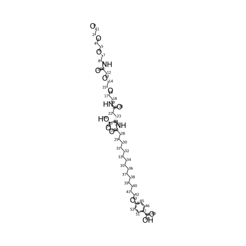 O=[C]COCCOCCNC(=O)COCCOCCNC(=O)CC[C@H](NC(=O)CCCCCCCCCCCCCCCOc1ccc(C(=O)O)cc1)C(=O)O